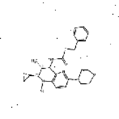 CC(=O)N1c2ccc(N3CCOCC3)nc2C(NC(=O)OCc2ccccc2)[C@@H](C)[C@@H]1C1CC1